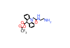 NCCNC(=O)CN1c2ccccc2C(C(=O)OC(=O)C(F)(F)F)c2ccccc21